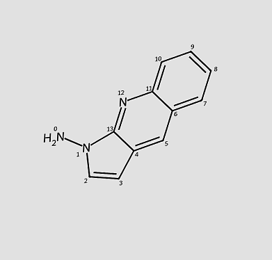 Nn1ccc2cc3ccccc3nc21